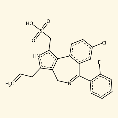 C=CCc1[nH]c(CS(=O)(=O)O)c2c1CN=C(c1ccccc1F)c1cc(Cl)ccc1-2